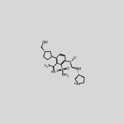 N=C(N)c1c(N2CC[C@@H](CO)C2)ccc([S+]([O-])CN[C@@H]2CCNC2)c1S(N)(=O)=O